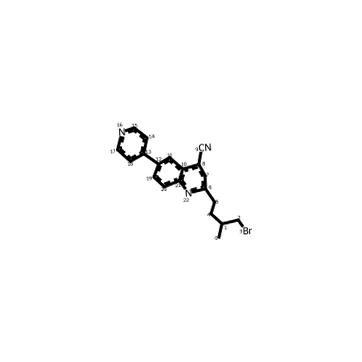 CC(CBr)CCc1cc(C#N)c2cc(-c3ccncc3)ccc2n1